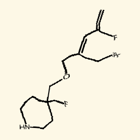 C=C(F)/C=C(/COCC1(F)CCNCC1)CC(C)C